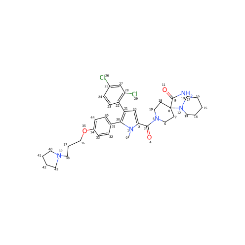 Cn1c(C(=O)N2CCC(C(N)=O)(N3CCCCC3)CC2)cc(-c2ccc(Cl)cc2Cl)c1-c1ccc(OCCCN2CCCC2)cc1